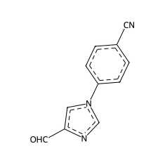 N#Cc1ccc(-n2cnc(C=O)c2)cc1